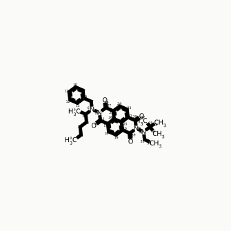 CCCCC(C)N(Cc1ccccc1)N1C(=O)c2ccc3c4c(ccc(c24)C1=O)C(=O)N(N(CC)C(C)(C)C)C3=O